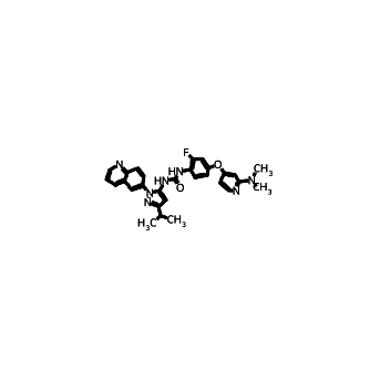 CC(C)c1cc(NC(=O)Nc2ccc(Oc3ccnc(N(C)C)c3)cc2F)n(-c2ccc3ncccc3c2)n1